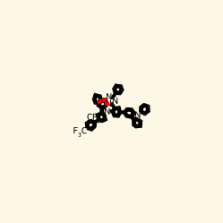 FC(F)(F)c1ccc(-c2ccc3c(c2)c2ccccc2n3-c2ccc(-c3ccc4c(c3)c3ccccc3n4-c3ccccc3)cc2-c2nc(-c3ccccc3)nc(-c3ccccc3)n2)c(C(F)(F)F)c1